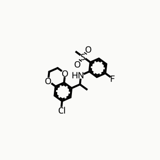 CC(Nc1cc(F)ccc1S(C)(=O)=O)c1cc(Cl)cc2c1OCCO2